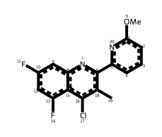 COc1cccc(-c2nc3cc(F)cc(F)c3c(Cl)c2C)n1